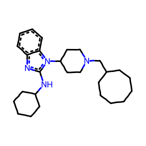 c1ccc2c(c1)nc(NC1CCCCC1)n2C1CCN(CC2CCCCCCC2)CC1